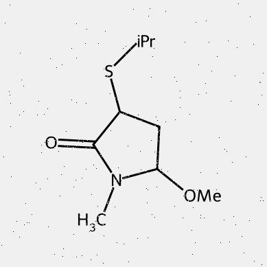 COC1CC(SC(C)C)C(=O)N1C